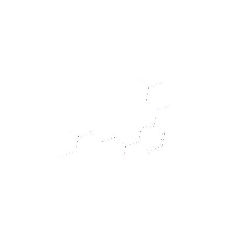 CCCC(CCC)CN(C(=O)O)c1cccc(C(O)CCNC(=O)OC(C)(C)C)c1